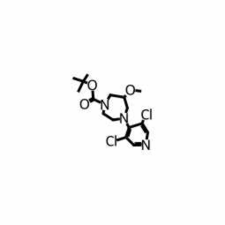 COC1CN(C(=O)OC(C)(C)C)CCN(c2c(Cl)cncc2Cl)C1